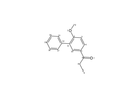 COc1ccc(C(=O)CI)cc1-c1ccccc1